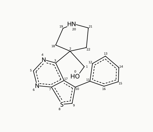 OCC1(c2ncnc3scc(-c4ccccc4)c23)CCNCC1